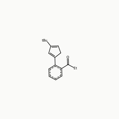 CCC(=O)c1ccccc1C1=CC(C(C)(C)C)=CC1